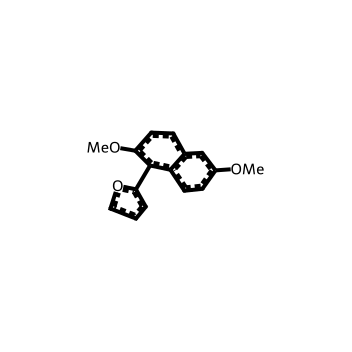 COc1ccc2c(-c3ccco3)c(OC)ccc2c1